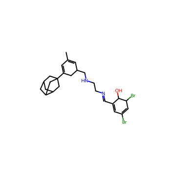 CC1=CC(CNCC/N=C/C2=CC(Br)=CC(Br)C2O)CC(C23CC4CC(C2)C(C4)C3)=C1